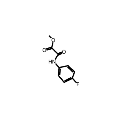 COC(=O)C(=O)Nc1ccc(F)cc1